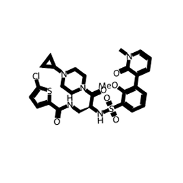 COc1c(-c2cccn(C)c2=O)cccc1S(=O)(=O)N[C@@H](CNC(=O)c1ccc(Cl)s1)C(=O)N1CCN(C2CC2)CC1